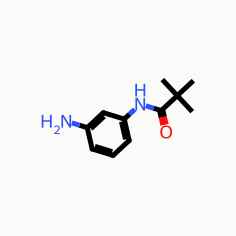 CC(C)(C)C(=O)Nc1cccc(N)c1